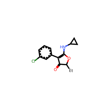 CCC1OC(NC2CC2)=C(c2cccc(Cl)c2)C1=O